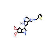 COc1cc2c(-c3cc4c(CNCc5cccs5)ccnc4[nH]3)cn(C)c2cc1OC